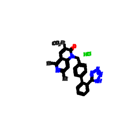 CCOC(=O)c1cc2c(CC)nc(CC)cc2n(Cc2ccc(-c3ccccc3-c3nnn[nH]3)cc2)c1=O.Cl